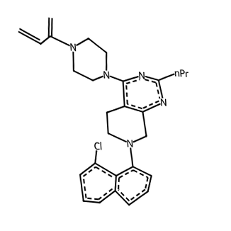 C=CC(=C)N1CCN(c2nc(CCC)nc3c2CCN(c2cccc4cccc(Cl)c24)C3)CC1